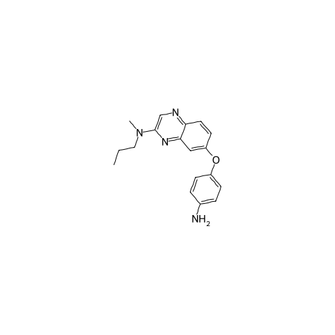 CCCN(C)c1cnc2ccc(Oc3ccc(N)cc3)cc2n1